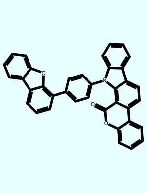 O=c1oc2ccccc2c2ccc3c4ccccc4n(-c4ccc(-c5cccc6c5oc5ccccc56)cc4)c3c12